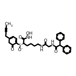 CC#CCC1=CC=C([S+]([O-])C(CCCCNC(=O)CNC(=O)C(c2ccccc2)c2ccccc2)C(=O)NO)C(=O)C1